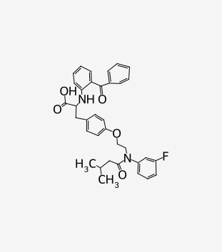 CC(C)CC(=O)N(CCOc1ccc(CC(Nc2ccccc2C(=O)c2ccccc2)C(=O)O)cc1)c1cccc(F)c1